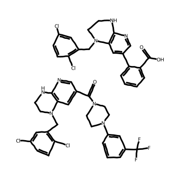 O=C(O)c1ccccc1-c1cnc2c(c1)N(Cc1cc(Cl)ccc1Cl)CCN2.O=C(c1cnc2c(c1)N(Cc1cc(Cl)ccc1Cl)CCN2)N1CCN(c2cccc(C(F)(F)F)c2)CC1